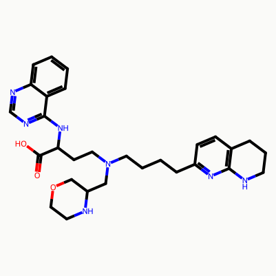 O=C(O)C(CCN(CCCCc1ccc2c(n1)NCCC2)CC1COCCN1)Nc1ncnc2ccccc12